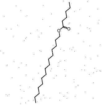 CCCCCCCCCCCCCCCOC(=O)CCCCC